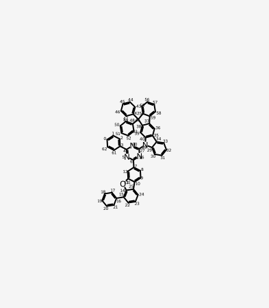 c1ccc(-c2nc(-c3ccc4c(c3)oc3c(-c5ccccc5)cccc34)nc(-n3c4ccccc4c4cc5c(cc43)C(c3ccccc3)(c3ccccc3)c3ccccc3-5)n2)cc1